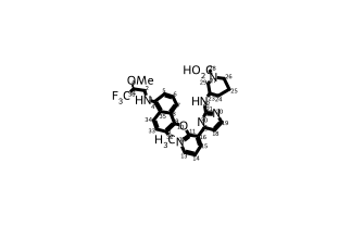 CO[C@@H](CNc1cccc2c(Oc3ncccc3-c3ccnc(NC4CCCN(C(=O)O)C4)n3)c(C)ccc12)C(F)(F)F